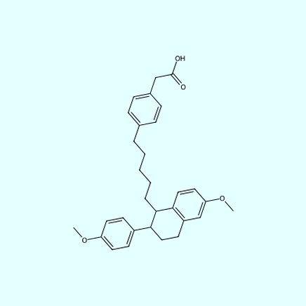 COc1ccc(C2CCc3cc(OC)ccc3C2CCCCCc2ccc(CC(=O)O)cc2)cc1